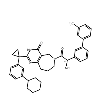 O=C([C@H](O)c1cccc(-c2cccc(C(F)(F)F)c2)c1)N1CCCc2nc(C3(c4cccc(C5CCCCC5)c4)CC3)[nH]c(=O)c2C1